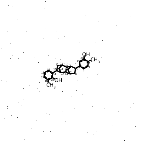 Cc1ccc(C2CC3CC2C2C4CC(c5cccc(C)c5O)C(C4)C32)cc1O